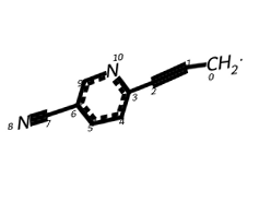 [CH2]C#Cc1ccc(C#N)cn1